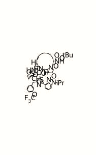 CC(C)n1c(O[C@@H]2C[C@H]3C(=O)N[C@]4(C(=O)NS(=O)(=O)C5(C)CC5)C[C@H]4/C=C\CCCCC[C@H](NC(=O)OC(C)(C)C)C(=O)N3C2)nc2c(-c3nc(Cc4cccc(OC(F)(F)F)c4)cs3)cccc21